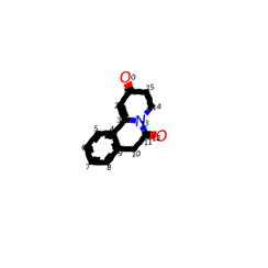 O=C1C=C2c3ccccc3CC(=O)N2CC1